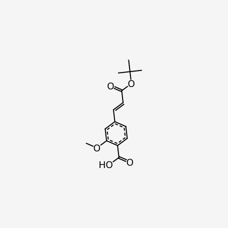 COc1cc(C=CC(=O)OC(C)(C)C)ccc1C(=O)O